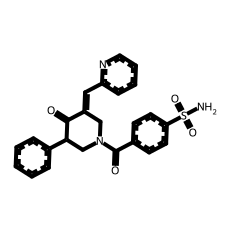 NS(=O)(=O)c1ccc(C(=O)N2CC(=Cc3ccccn3)C(=O)C(c3ccccc3)C2)cc1